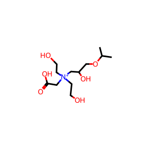 CC(C)OCC(O)C[N+](CCO)(CCO)CC(=O)O